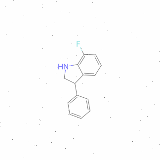 Fc1cccc2c1NCC2c1ccccc1